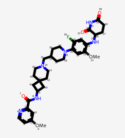 COc1ccnc(C(=O)NC2CC3(CCN(CC4CCN(c5cc(OC)c(NC6CCC(=O)NC6=O)cc5F)CC4)CC3)C2)c1